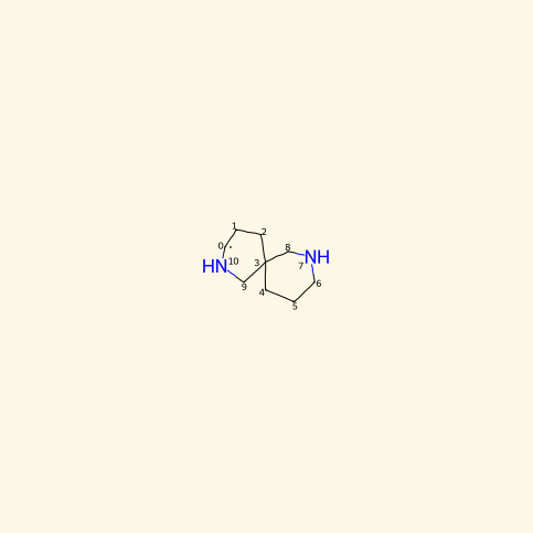 [CH]1CCC2(CCCNC2)CN1